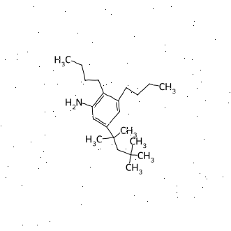 CCCCc1cc(C(C)(C)CC(C)(C)C)cc(N)c1CCCC